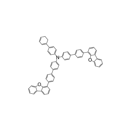 C1=CCCC(c2ccc(N(c3ccc(-c4ccc(-c5cccc6c5oc5ccccc56)cc4)cc3)c3ccc(-c4ccc(-c5cccc6c5oc5ccccc56)cc4)cc3)cc2)=C1